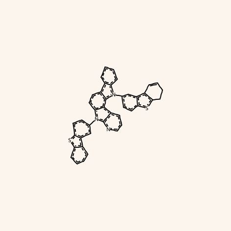 C1=Cc2c(sc3ccc(-n4c5ccccc5c5ccc6c(c7cccnc7n6-c6ccc7sc8ccccc8c7c6)c54)cc23)CC1